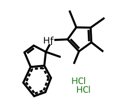 CC1=C(C)C(C)[C]([Hf][C]2(C)C=Cc3ccccc32)=C1C.Cl.Cl